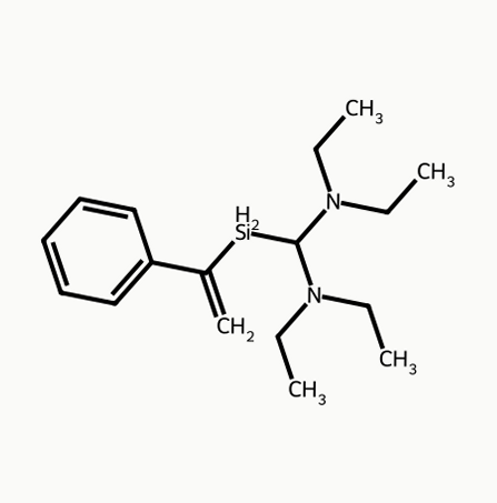 C=C([SiH2]C(N(CC)CC)N(CC)CC)c1ccccc1